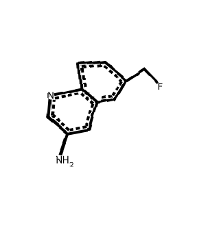 Nc1cnc2ccc(CF)cc2c1